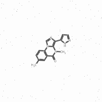 Cc1ccc2c(c1)c(=O)n(C)c1c(-c3ccn[nH]3)ncn21